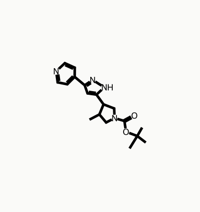 CC1CN(C(=O)OC(C)(C)C)CC1c1cc(-c2ccncc2)n[nH]1